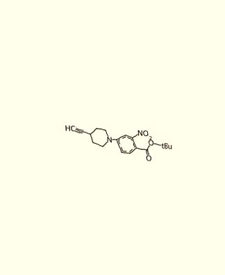 C#CC1CCN(c2ccc(C(=O)OC(C)(C)C)c([N+](=O)[O-])c2)CC1